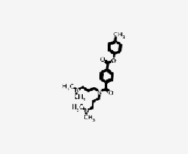 Cc1ccc(OC(=O)c2ccc(C(=O)N(CCCN(C)C)CCCN(C)C)cc2)cc1